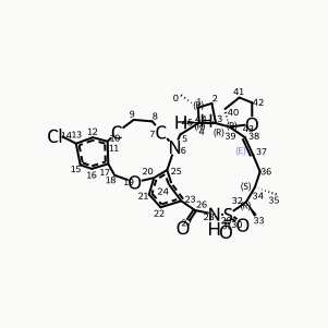 C[C@@H]1C[C@@H]2[C@@H]1CN1CCCCc3cc(Cl)ccc3COc3ccc(cc31)C(=O)NS(=O)(=O)[C@H](C)[C@@H](C)C/C=C/[C@@]21CCCO1